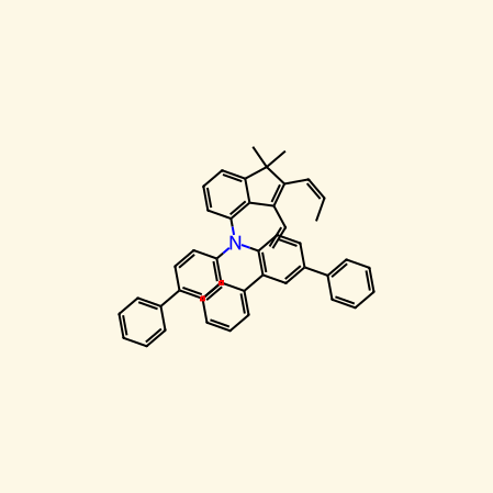 C=CC1=C(/C=C\C)C(C)(C)c2cccc(N(c3ccc(-c4ccccc4)cc3)c3ccc(-c4ccccc4)cc3-c3ccccc3)c21